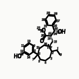 CCC1CCCC(C)(c2cccc(O)c2)CCN1C[C@H](C(=O)OC)[C@@H](O)c1ccccc1